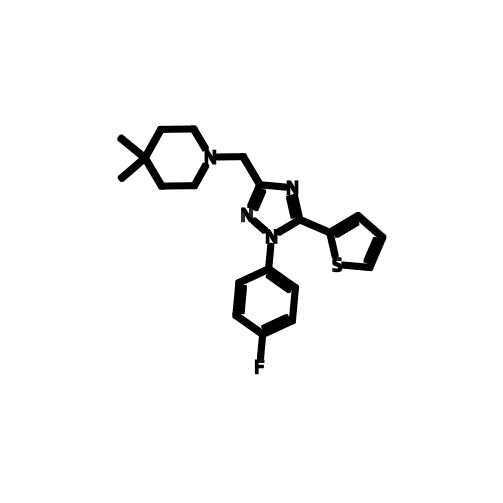 CC1(C)CCN(Cc2nc(-c3cccs3)n(-c3ccc(F)cc3)n2)CC1